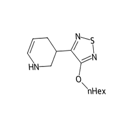 CCCCCCOc1nsnc1C1CC=CNC1